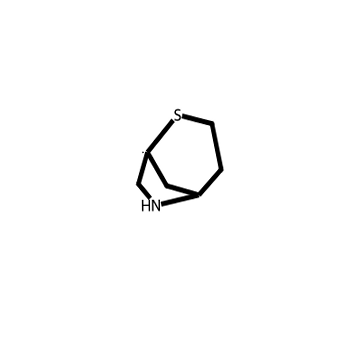 C1CC2C[C](CN2)S1